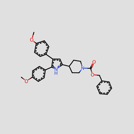 COc1ccc(-c2cc(C3CCN(C(=O)OCc4ccccc4)CC3)[nH]c2-c2ccc(OC)cc2)cc1